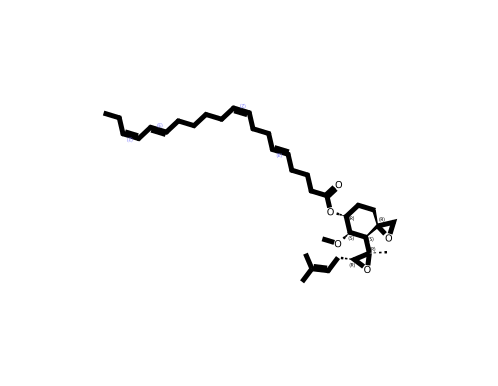 CC/C=C\C=C\CCCC/C=C\CC/C=C/CCCC(=O)O[C@@H]1CC[C@]2(CO2)[C@@H]([C@@]2(C)O[C@@H]2CC=C(C)C)[C@@H]1OC